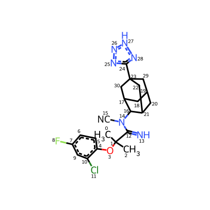 CC(C)(Oc1ccc(F)cc1Cl)C(=N)N(C#N)C1C2CC3CC1CC(c1nn[nH]n1)(C3)C2